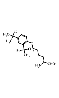 CCC(C)(C)c1ccc(OCCCCN(N)[C]=O)c(C(C)(C)CC)c1